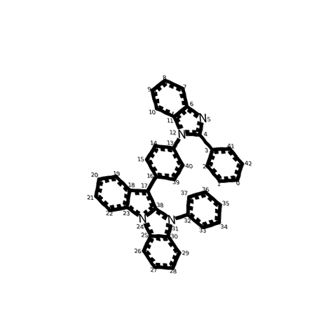 c1ccc(-c2nc3ccccc3n2-c2ccc(-c3c4ccccc4n4c5ccccc5n(-c5ccccc5)c34)cc2)cc1